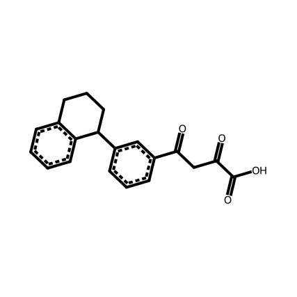 O=C(O)C(=O)CC(=O)c1cccc(C2CCCc3ccccc32)c1